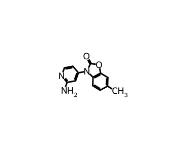 Cc1ccc2c(c1)oc(=O)n2-c1ccnc(N)c1